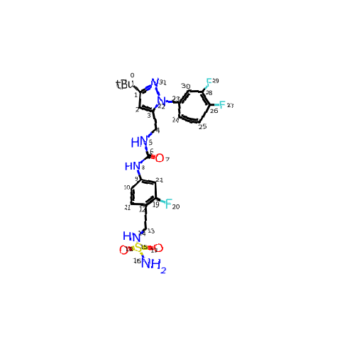 CC(C)(C)c1cc(CNC(=O)Nc2ccc(CNS(N)(=O)=O)c(F)c2)n(-c2ccc(F)c(F)c2)n1